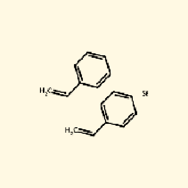 C=Cc1ccccc1.C=Cc1ccccc1.[Si]